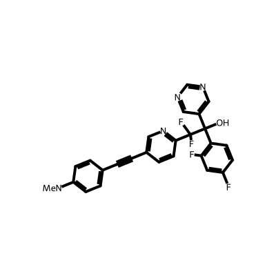 CNc1ccc(C#Cc2ccc(C(F)(F)C(O)(c3cncnc3)c3ccc(F)cc3F)nc2)cc1